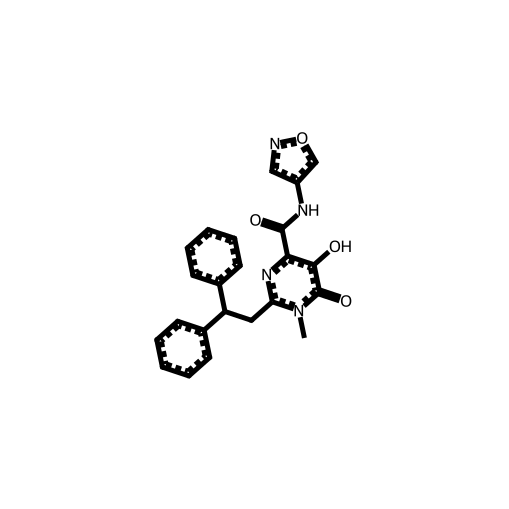 Cn1c(CC(c2ccccc2)c2ccccc2)nc(C(=O)Nc2cnoc2)c(O)c1=O